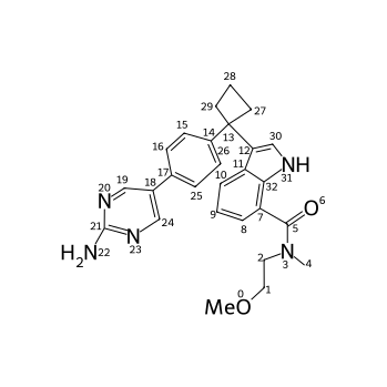 COCCN(C)C(=O)c1cccc2c(C3(c4ccc(-c5cnc(N)nc5)cc4)CCC3)c[nH]c12